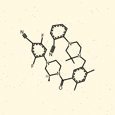 Cc1cc(C)c(C(=O)N2CCN(c3cc(F)c(C#N)cc3F)C[C@@H]2C)cc1CN1CCN(c2ccccc2C#N)CC1(C)C